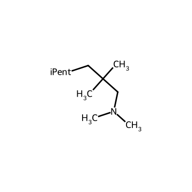 CCCC(C)CC(C)(C)CN(C)C